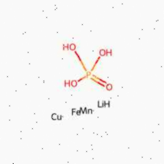 O=P(O)(O)O.[Cu].[Fe].[LiH].[Mn]